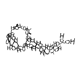 C=C1C2C[C@@H]3O[C@H]4C[C@H]5O[C@@]6(C[C@@H]7O[C@]8(C[C@H](C)C9O[C@@H]%10C[C@@H]([C@@H](O)CO)O[C@@H]%10C[C@@H]9O8)C[C@H](C)[C@@H]7O6)C[C@H]5O[C@H]4[C@H](C)[C@H]3OC(=O)C[C@H]3CC[C@@H]4OC5C6OC7C[C@@](CC[C@H]8CC(=C)[C@H](CC[C@@H](C[C@H]1C)O2)O8)(O[C@H]75)O[C@H]6[C@H]4O3